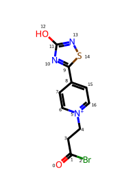 O=C(Br)CC[n+]1ccc(-c2nc(O)ns2)cc1